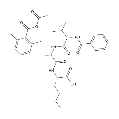 CC(=O)OC(=O)c1c(C)cccc1C.CCCC[C@H](NC(=O)[C@H](C)NC(=O)[C@@H](NC(=O)c1ccccc1)C(C)C)C(=O)O